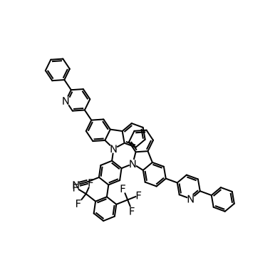 N#Cc1cc(-n2c3ccccc3c3cc(-c4ccc(-c5ccccc5)nc4)ccc32)c(-n2c3ccccc3c3cc(-c4ccc(-c5ccccc5)nc4)ccc32)cc1-c1c(C(F)(F)F)cccc1C(F)(F)F